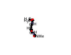 CNc1cccc(/C=N/NC(=O)c2ccc(NCCCC(=O)N/N=C/c3cccc(N(C)C)c3)cc2)c1